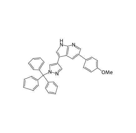 COc1ccc(-c2cnc3[nH]cc(-c4cnn(C(c5ccccc5)(c5ccccc5)c5ccccc5)c4)c3c2)cc1